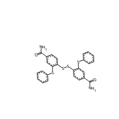 NC(=O)c1ccc(SSc2ccc(C(N)=O)cc2Sc2ccccc2)c(Sc2ccccc2)c1